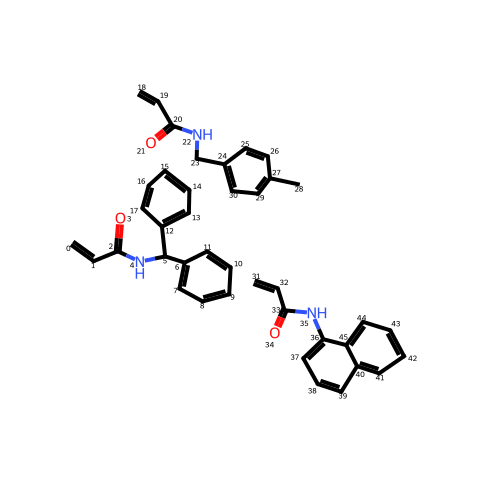 C=CC(=O)NC(c1ccccc1)c1ccccc1.C=CC(=O)NCc1ccc(C)cc1.C=CC(=O)Nc1cccc2ccccc12